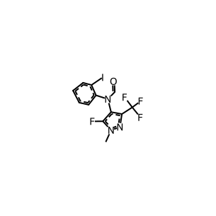 Cn1nc(C(F)(F)F)c(N(C=O)c2ccccc2I)c1F